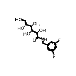 O=C(NCc1cc(F)cc(F)c1)[C@H](O)[C@@H](O)[C@H](O)[C@H](O)CO